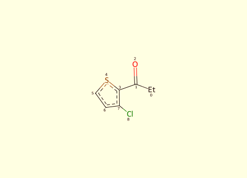 CCC(=O)c1sccc1Cl